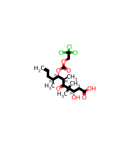 C=CC[C@H](C)[C@H](OC(=O)OCC(Cl)(Cl)Cl)[C@@H](C)C(=O)C(C)(C)[C@@H](O)CC(=O)O